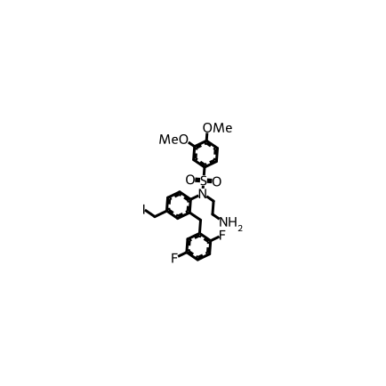 COc1ccc(S(=O)(=O)N(CCN)c2ccc(CI)cc2Cc2cc(F)ccc2F)cc1OC